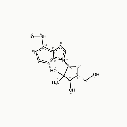 CC1(O)[C@H](O)[C@@H](CO)O[C@@H]1n1cnc2c(NO)ncnc21